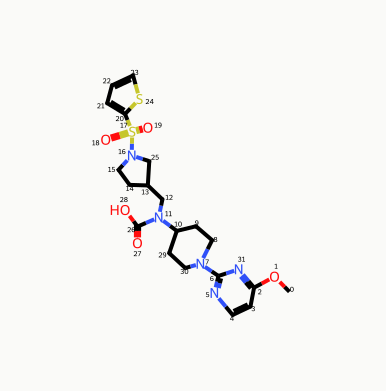 COc1ccnc(N2CCC(N(CC3CCN(S(=O)(=O)c4cccs4)C3)C(=O)O)CC2)n1